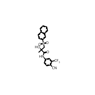 CC(O)(CS(=O)(=O)c1ccc2ccccc2c1)C(=O)Nc1ccc(C#N)c(C(F)(F)F)c1